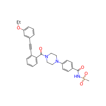 CCOc1cccc(C#Cc2ccccc2C(=O)N2CCN(c3ccc(C(=O)NS(C)(=O)=O)cc3)CC2)c1